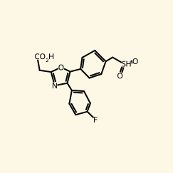 O=C(O)Cc1nc(-c2ccc(F)cc2)c(-c2ccc(C[SH](=O)=O)cc2)o1